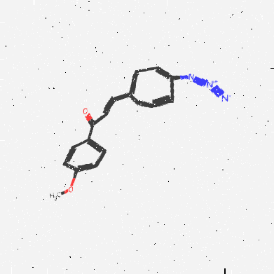 COc1ccc(C(=O)C=Cc2ccc(N=[N+]=[N-])cc2)cc1